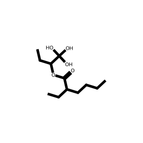 CCCCC(CC)C(=O)OC(CC)C(O)(O)O